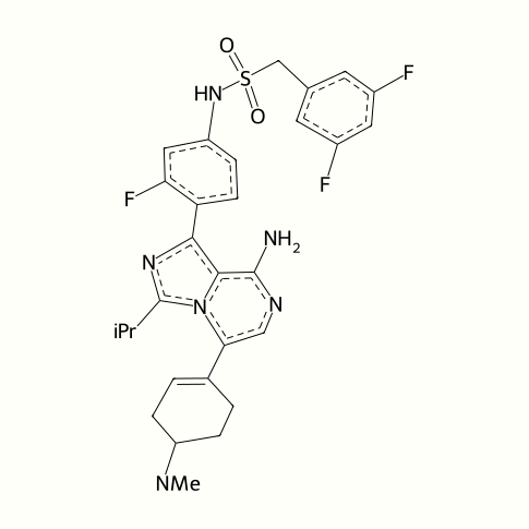 CNC1CC=C(c2cnc(N)c3c(-c4ccc(NS(=O)(=O)Cc5cc(F)cc(F)c5)cc4F)nc(C(C)C)n23)CC1